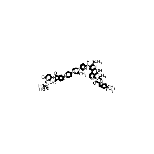 COc1ncc(-c2ccnc(N3CCn4c(cc5c4CC(C)(C)C5)C3=O)c2[C@@H](C)O)cc1Nc1ccc(N2CCN(C3CCN(c4ccc5c(c4)C(=O)N(C4CCC(=O)N(COP(=O)(O)O)C4=O)C5=O)CC3)C[C@@H]2C)cn1